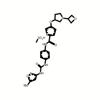 CC(C)(C)c1cc(NC(=O)Nc2ccc(NC(=O)c3ccc(OC4CCN(C5COC5)C4)cn3)cc2)no1.CS(=O)(=O)O